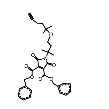 C#CCCC(C)(C)OCCC(C)(C)N1C(=O)C(C(=O)OCc2ccccc2)=C(C(=O)OCc2ccccc2)C1=O